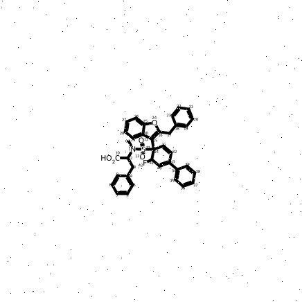 CN(C(Cc1ccccc1)C(=O)O)S(=O)(=O)C1(c2c(Cc3ccccc3)oc3ccccc23)C=CC(c2ccccc2)=CC1F